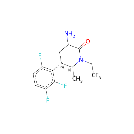 C[C@@H]1[C@H](c2c(F)ccc(F)c2F)CC(N)C(=O)N1CC(F)(F)F